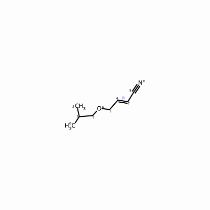 CC(C)COC/C=C/C#N